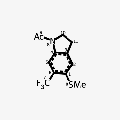 CSc1cc2c(cc1C(F)(F)F)N(C(C)=O)CC2